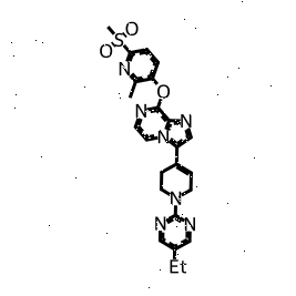 CCc1cnc(N2CC=C(c3cnc4c(Oc5ccc(S(C)(=O)=O)nc5C)nccn34)CC2)nc1